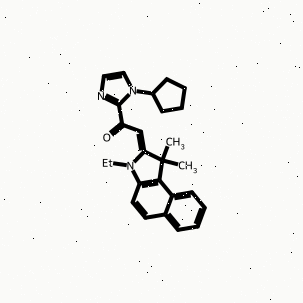 CCN1/C(=C\C(=O)c2nccn2C2CCCC2)C(C)(C)c2c1ccc1ccccc21